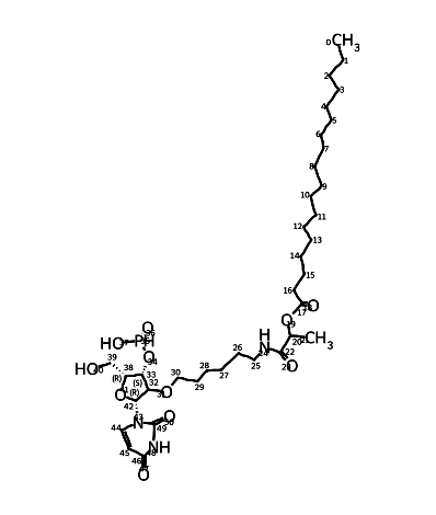 CCCCCCCCCCCCCCCCCC(=O)OC(C)C(=O)NCCCCCCOC1[C@@H](O[PH](=O)O)[C@@H](CO)O[C@H]1n1ccc(=O)[nH]c1=O